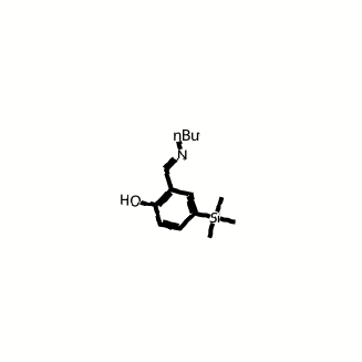 CCCCN=Cc1cc([Si](C)(C)C)ccc1O